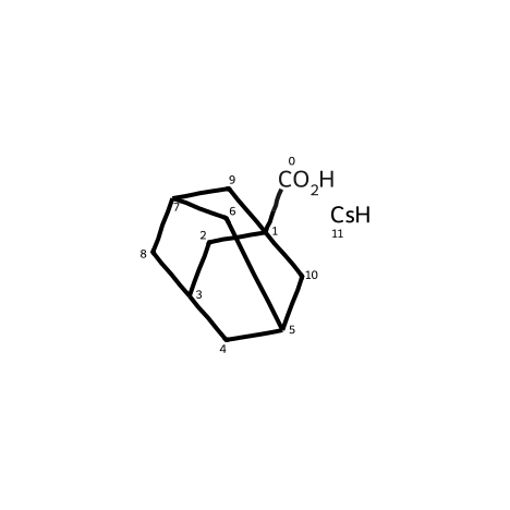 O=C(O)C12CC3CC(CC(C3)C1)C2.[CsH]